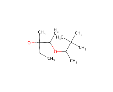 CCC(C)([O])C(C)OC(C)C(C)(C)C